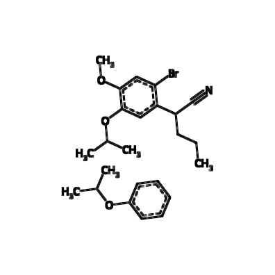 CC(C)Oc1ccccc1.CCCC(C#N)c1cc(OC(C)C)c(OC)cc1Br